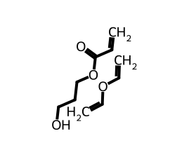 C=CC(=O)OCCCO.C=COC=C